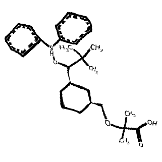 CC(C)(OC[C@H]1CCC[C@@H](C(O[SiH](c2ccccc2)c2ccccc2)C(C)(C)C)C1)C(=O)O